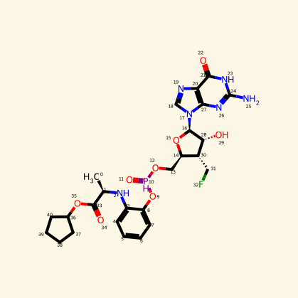 C[C@@H](Nc1ccccc1O[PH](=O)OC[C@H]1O[C@@H](n2cnc3c(=O)[nH]c(N)nc32)[C@H](O)[C@@H]1CF)C(=O)OC1CCCC1